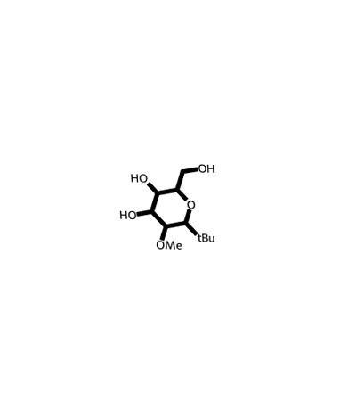 COC1C(O)C(O)C(CO)OC1C(C)(C)C